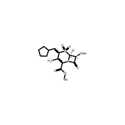 CO[C@H]1C(=O)N2C(C(=O)OC(C)(C)C)=C(C)/C(=C\C3CCCC3)S(=O)(=O)[C@@H]12